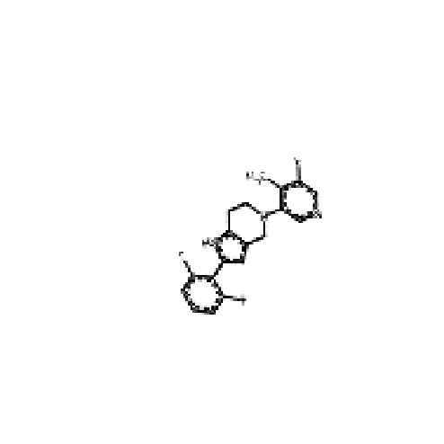 Cc1c(F)cncc1N1CCc2[nH]c(-c3c(F)cccc3F)cc2C1